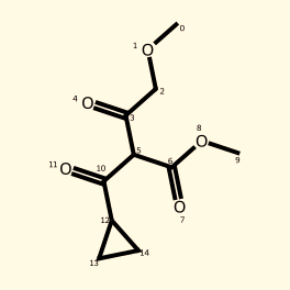 COCC(=O)C(C(=O)OC)C(=O)C1CC1